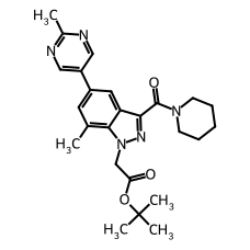 Cc1ncc(-c2cc(C)c3c(c2)c(C(=O)N2CCCCC2)nn3CC(=O)OC(C)(C)C)cn1